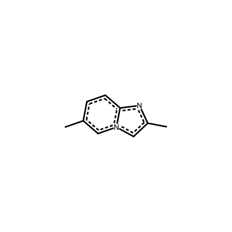 Cc1ccc2nc(C)cn2c1